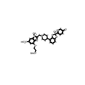 COCCOc1cc(C(=O)O)cc2c1nc(CN1CCC(c3cccc4c3O[C@@](C)(c3ccc(Cl)cn3)O4)CC1)n2C